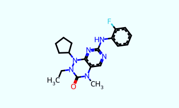 CCN1C(=O)N(C)c2cnc(Nc3ccccc3F)nc2N1C1CCCC1